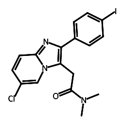 CN(C)C(=O)Cc1c(-c2ccc(I)cc2)nc2ccc(Cl)cn12